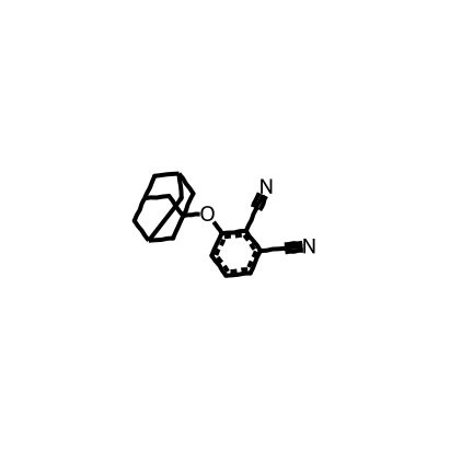 N#Cc1cccc(OC23CC4CC(CC(C4)C2)C3)c1C#N